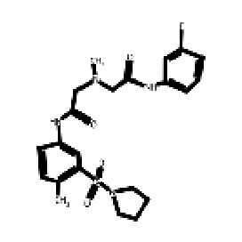 Cc1ccc(NC(=O)CN(C)CC(=O)Nc2cccc(F)c2)cc1S(=O)(=O)N1CCCC1